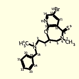 CN(CCC1CN(C)C(=S)c2cc(Br)cnc2O1)Cc1ccccc1